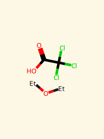 CCOCC.O=C(O)C(Cl)(Cl)Cl